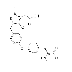 COC(=O)[C@H](Cc1ccc(Oc2ccc(CC3SC(=S)N(CC(=O)O)C3=O)cc2)cc1)NCl